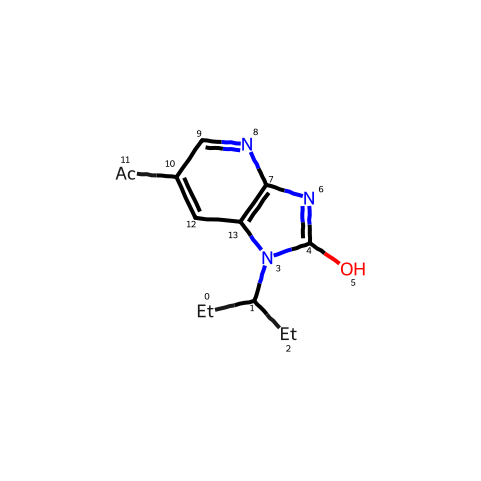 CCC(CC)n1c(O)nc2ncc(C(C)=O)cc21